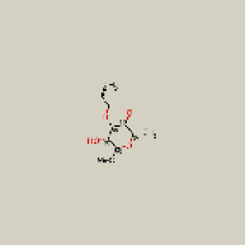 C=CCO[C@@H]1[C@@H](O)[C@H](C)O[C@@H](OC)[C@@H]1O